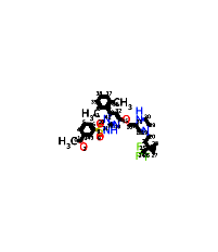 CC(=O)c1cccc(S(=O)(=O)Nc2nc(OCC3CN(CCC4(C(F)(F)F)CC4)CCN3)cc(-c3c(C)cccc3C)n2)c1